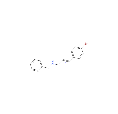 Brc1ccc(/C=C/CNCc2ccccc2)cc1